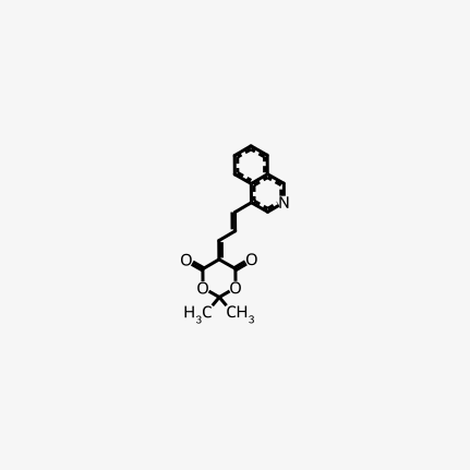 CC1(C)OC(=O)C(=C/C=C/c2cncc3ccccc23)C(=O)O1